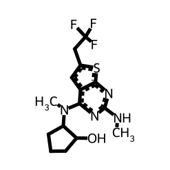 CNc1nc(N(C)C2CCCC2O)c2cc(CC(F)(F)F)sc2n1